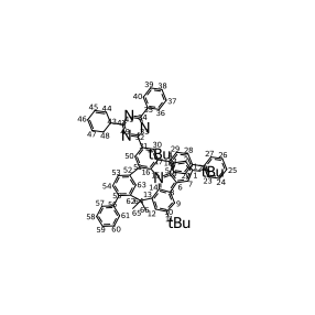 CC(C)(C)c1cc(C(C)(C)C)c2c(c1)c1cc(C(C)(C)C)cc3c1n2-c1c(-c2ccc(-c4ccccc4)cc2)cc(-c2nc(-c4ccccc4)nc(C4C=CC=CC4)n2)cc1-c1ccc(-c2ccccc2)c(c1)C3(C)C